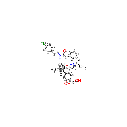 C[C@H](Cc1cccc(CC(=O)NCCc2ccc(Cl)cc2)c1)NC[C@H](O[Si](C)(C)C(C)(C)C)c1ccc(O)c(CO)c1